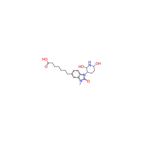 Cn1c(=O)n(C2CCC(O)NC2O)c2ccc(CCCCCCC(=O)O)cc21